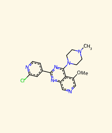 COc1cncc2nc(-c3ccnc(Cl)c3)nc(N3CCN(C)CC3)c12